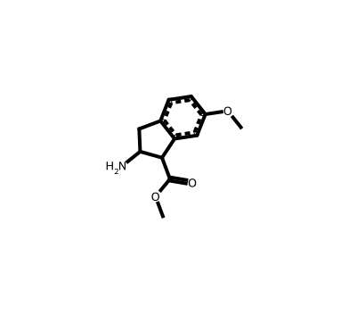 COC(=O)C1c2cc(OC)ccc2CC1N